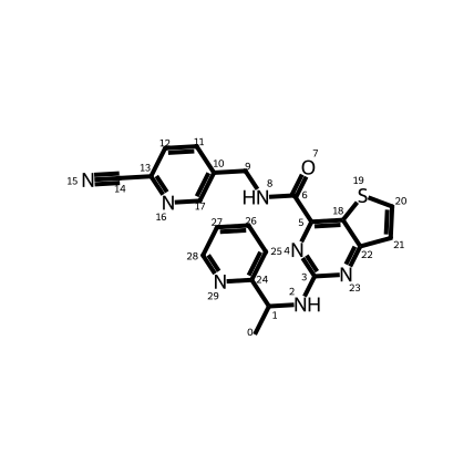 CC(Nc1nc(C(=O)NCc2ccc(C#N)nc2)c2sccc2n1)c1ccccn1